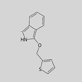 [c]1[nH]c(OCc2cccs2)c2ccccc12